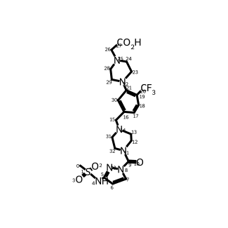 CS(=O)(=O)Nc1ccn(C(=O)N2CCN(Cc3ccc(C(F)(F)F)c(N4CCN(CC(=O)O)CC4)c3)CC2)n1